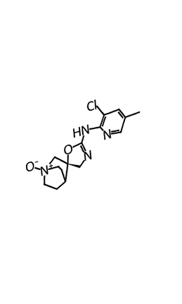 Cc1cnc(NC2=NC[C@@]3(C[N+]4([O-])CCC3CC4)O2)c(Cl)c1